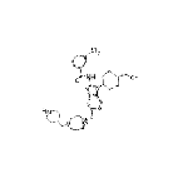 O=C(Nc1nc2cc(CN3CCN(CC4CCNCC4)CC3)ccc2n1C1CCC(CO)CC1)c1cccc(C(F)(F)F)c1